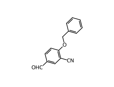 N#Cc1cc(C=O)ccc1OCc1ccccc1